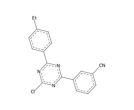 CCc1ccc(-c2nc(Cl)nc(-c3cccc(C#N)c3)n2)cc1